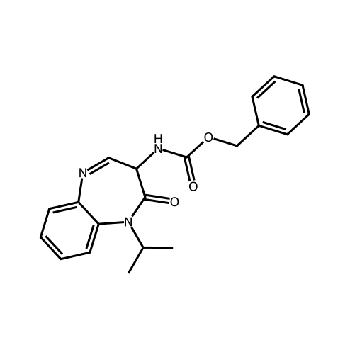 CC(C)N1C(=O)C(NC(=O)OCc2ccccc2)C=Nc2ccccc21